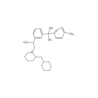 Cc1ccc(C(O)(S)c2cccc(C(C)CN3CCCCC3CC3CCCCC3)c2)cc1